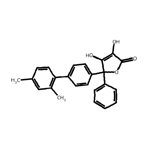 Cc1ccc(-c2ccc(C3(c4ccccc4)OC(=O)C(O)=C3O)cc2)c(C)c1